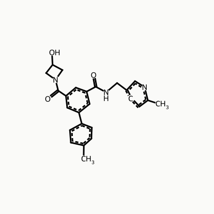 Cc1ccc(-c2cc(C(=O)NCc3ccc(C)nc3)cc(C(=O)N3CC(O)C3)c2)cc1